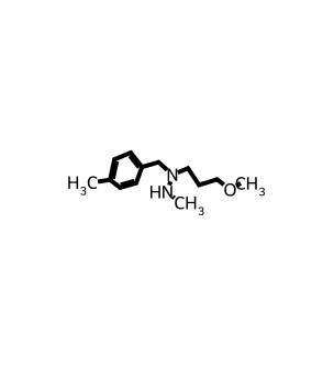 CNN(CCCOC)Cc1ccc(C)cc1